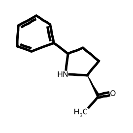 CC(=O)[C@@H]1CCC(c2ccccc2)N1